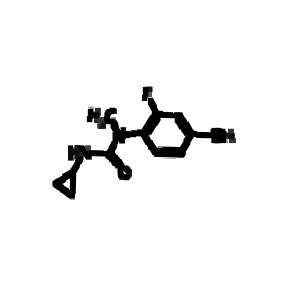 CN(C(=O)NC1CC1)c1ccc(S)cc1F